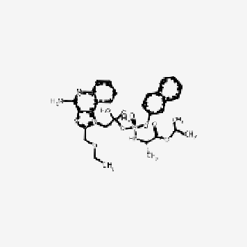 CCOCc1nc2c(N)nc3ccccc3c2n1CC(C)(O)O[P@@](=O)(N[C@@H](C)C(=O)OC(C)C)Oc1ccc2ccccc2c1